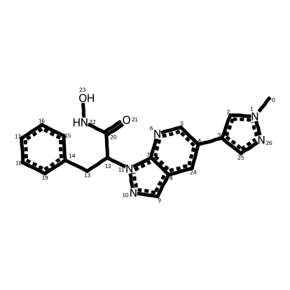 Cn1cc(-c2cnc3c(cnn3C(Cc3ccccc3)C(=O)NO)c2)cn1